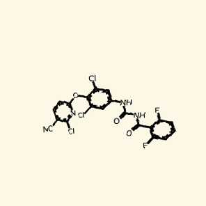 N#Cc1ccc(Oc2c(Cl)cc(NC(=O)NC(=O)c3c(F)cccc3F)cc2Cl)nc1Cl